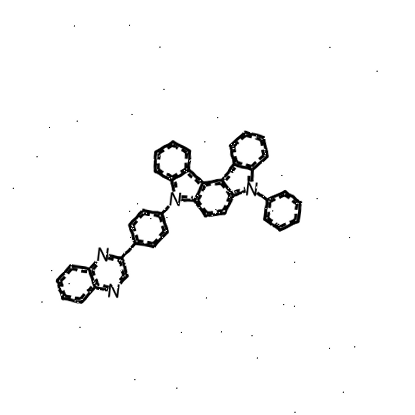 c1ccc(-n2c3ccccc3c3c4c5ccccc5n(-c5ccc(-c6cnc7ccccc7n6)cc5)c4ccc32)cc1